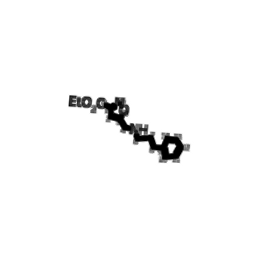 CCOC(=O)c1cc(CNCCCc2ccccc2)on1